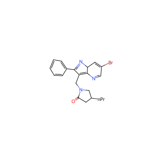 CCCC1CC(=O)N(CC2=C3N=CC(Br)=CC3N=C2c2ccccc2)C1